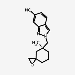 C[C@]1(Cn2cc3ccc(C#N)cc3n2)CCCC2(CO2)C1